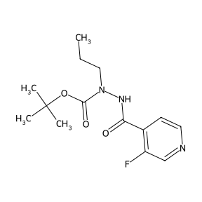 CCCN(NC(=O)c1ccncc1F)C(=O)OC(C)(C)C